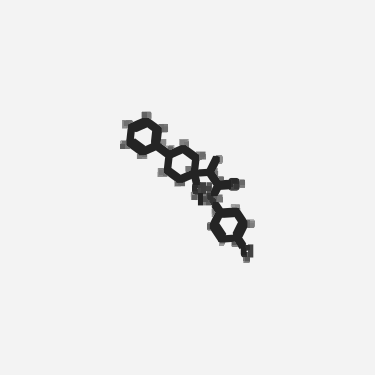 CC(C(=O)Nc1ccc(Cl)cc1)C1(O)CCC(c2ccccc2)CC1